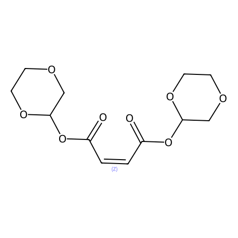 O=C(/C=C\C(=O)OC1COCCO1)OC1COCCO1